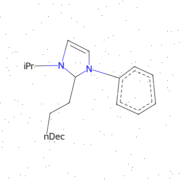 CCCCCCCCCCCCC1N(c2ccccc2)C=CN1C(C)C